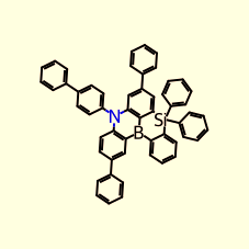 c1ccc(-c2ccc(N3c4ccc(-c5ccccc5)cc4B4c5ccccc5[Si](c5ccccc5)(c5ccccc5)c5cc(-c6ccccc6)cc3c54)cc2)cc1